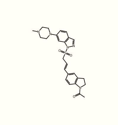 CC(=O)N1CCc2cc(C=CCS(=O)(=O)n3ncc4ccc(N5CCN(C)CC5)cc43)ccc21